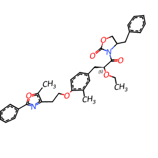 CCO[C@@H](Cc1ccc(OCCc2nc(-c3ccccc3)oc2C)c(C)c1)C(=O)N1C(=O)OCC1Cc1ccccc1